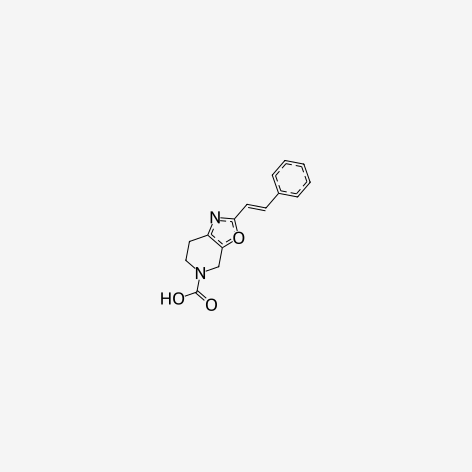 O=C(O)N1CCc2nc(C=Cc3ccccc3)oc2C1